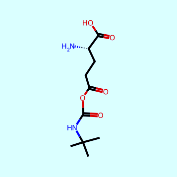 CC(C)(C)NC(=O)OC(=O)CC[C@H](N)C(=O)O